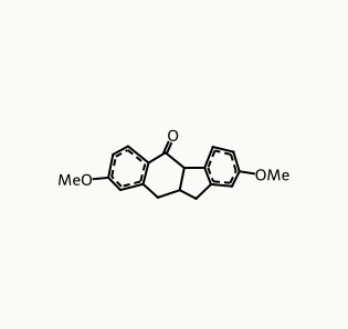 COc1ccc2c(c1)CC1Cc3cc(OC)ccc3C1C2=O